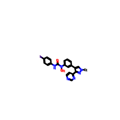 CCn1cc(-c2cccc(N(O)C(=O)Nc3ccc(I)cc3)c2)c(-c2ccncn2)n1